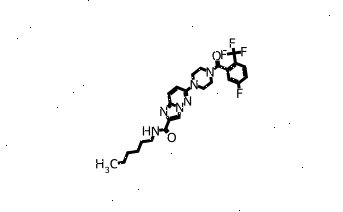 CCCCCCNC(=O)c1cn2nc(N3CCN(C(=O)c4cc(F)ccc4C(F)(F)F)CC3)ccc2n1